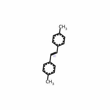 Cc1ccc(/C=C/c2ccc(C)cc2)cc1